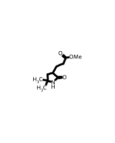 COC(=O)CCC1CC(C)(C)NC1=O